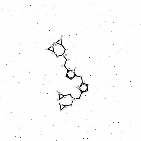 c1cc(Cc2ccc(CN(CC3CO3)CC3CO3)o2)oc1CCN(CC1CO1)CC1CO1